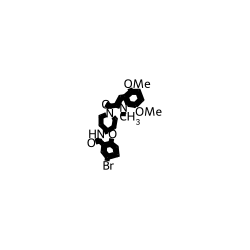 COc1ccc(OC)c2c1cc(C(=O)N1CCC3(CC1)NC(=O)c1cc(Br)ccc1O3)n2C